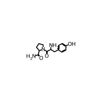 NC(=O)C1CCCN1C(=O)C(N)Cc1ccc(O)cc1